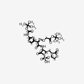 CC(C)(C)OC(=O)CON=C(C(=O)N[C@@H]1C(=O)N(S(=O)(=O)O)[C@@H]1CN1CCOC1=O)c1csc(NC(=O)OC(C)(C)C)n1